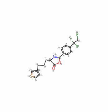 O=C1OC(c2ccc(C(F)(F)CF)cc2)=N/C1=C/CCc1ccsc1